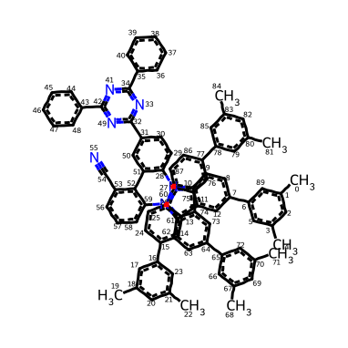 Cc1cc(C)cc(-c2ccc3c(c2)c2cc(-c4cc(C)cc(C)c4)ccc2n3-c2ccc(-c3nc(-c4ccccc4)nc(-c4ccccc4)n3)cc2-c2c(C#N)cccc2-n2c3ccc(-c4cc(C)cc(C)c4)cc3c3cc(-c4cc(C)cc(C)c4)ccc32)c1